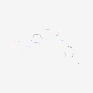 N#Cc1ccc(CNC(=O)N2CCc3cnc(NC4CCOCC4)nc3C2)cc1F